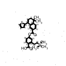 CC1(C)CC=C(c2cccs2)c2cc(C(=O)Oc3ccc(C(=O)O)c(CC[Si](C)(C)C)c3)ccc21